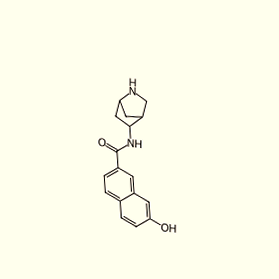 O=C(NC1CC2CC1CN2)c1ccc2ccc(O)cc2c1